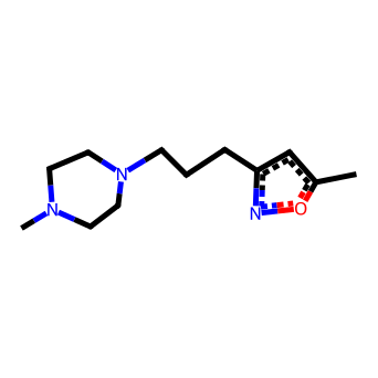 Cc1cc(CCCN2CCN(C)CC2)no1